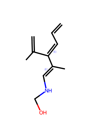 C=C/C=C(C(=C)C)/C(C)=C/NCO